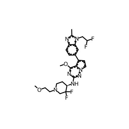 COCCN1CC[C@@H](Nc2nc(OC)c3c(-c4ccc5nc(C)n(CC(F)F)c5c4)ccn3n2)C(F)(F)C1